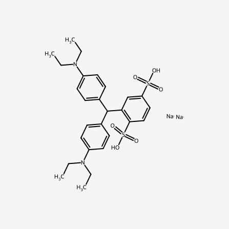 CCN(CC)c1ccc(C(c2ccc(N(CC)CC)cc2)c2cc(S(=O)(=O)O)ccc2S(=O)(=O)O)cc1.[Na].[Na]